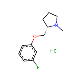 CN1CCC[C@H]1COc1cccc(F)c1.Cl